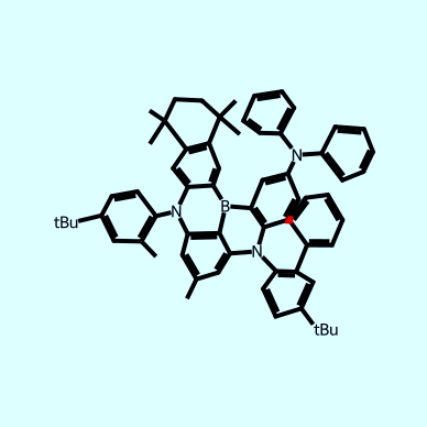 Cc1cc2c3c(c1)N(c1ccc(C(C)(C)C)cc1-c1ccccc1)c1ccc(N(c4ccccc4)c4ccccc4)cc1B3c1cc3c(cc1N2c1ccc(C(C)(C)C)cc1C)C(C)(C)CCC3(C)C